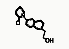 O=c1ccccn1-c1ccc2cc(CCO)ccc2c1